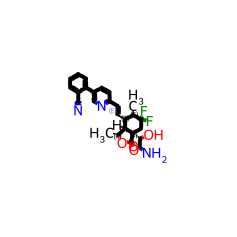 C[C@H]1OC(=O)[C@]2(C(O)C(N)=O)CC(F)(F)[C@@H](C)[C@H](/C=C/c3ccc(-c4ccccc4C#N)cn3)[C@H]12